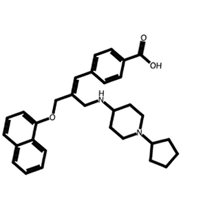 O=C(O)c1ccc(C=C(CNC2CCN(C3CCCC3)CC2)COc2cccc3ccccc23)cc1